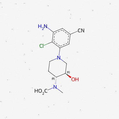 CN(C(=O)O)[C@@H]1CCN(c2cc(C#N)cc(N)c2Cl)C[C@H]1O